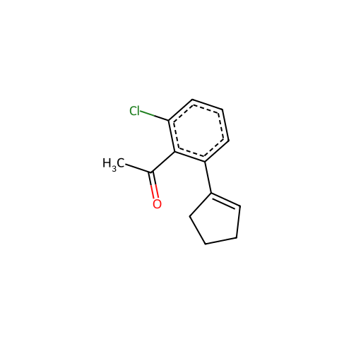 CC(=O)c1c(Cl)cccc1C1=CCCC1